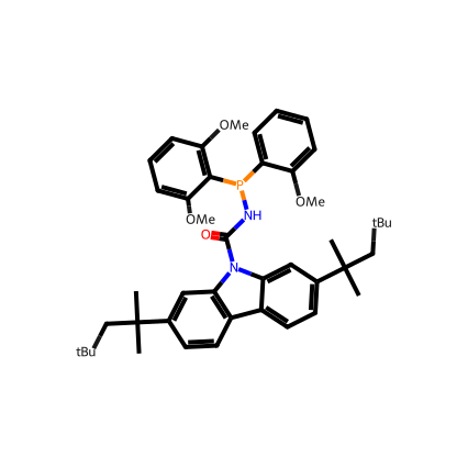 COc1ccccc1P(NC(=O)n1c2cc(C(C)(C)CC(C)(C)C)ccc2c2ccc(C(C)(C)CC(C)(C)C)cc21)c1c(OC)cccc1OC